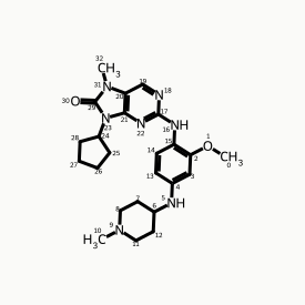 COc1cc(NC2CCN(C)CC2)ccc1Nc1ncc2c(n1)n(C1CCCC1)c(=O)n2C